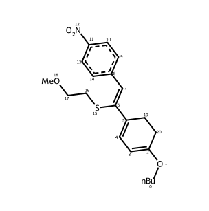 CCCCOC1=CC=C(C(=Cc2ccc([N+](=O)[O-])cc2)SCCOC)CC1